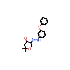 CC1(C)CC(=O)/C(=N/Nc2cccc(Oc3ccccc3)c2)CO1